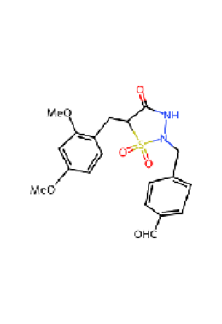 COc1ccc(CC2C(=O)NN(Cc3ccc(C=O)cc3)S2(=O)=O)c(OC)c1